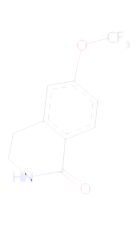 O=C1NCCc2cc(OC(F)(F)F)ccc21